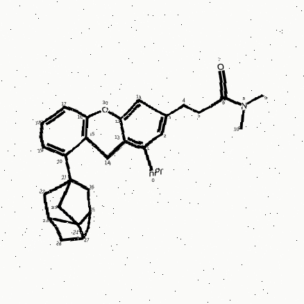 CCCc1cc(CCC(=O)N(C)C)cc2c1Cc1c(cccc1C13CC4CC(C1)C(C4)C3)O2